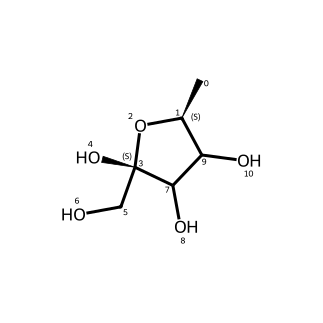 C[C@@H]1O[C@@](O)(CO)C(O)C1O